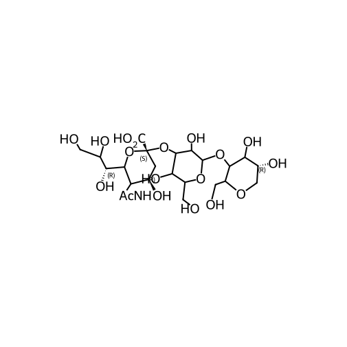 CC(=O)NC1C([C@H](O)C(O)CO)O[C@@](OC2C(O)C(CO)OC(OC3C(CO)OC[C@@H](O)C3O)C2O)(C(=O)O)C[C@H]1O